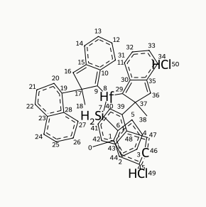 Cc1ccccc1[SiH2][Hf]([C]1=c2ccccc2=CC1(C)c1cccc2ccccc12)[C]1=c2ccccc2=CC1(C)c1cccc2ccccc12.Cl.Cl